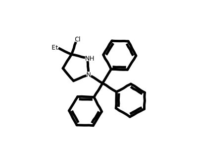 CCC1(Cl)CCN(C(c2ccccc2)(c2ccccc2)c2ccccc2)N1